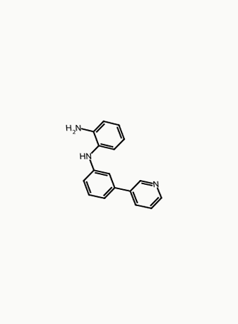 Nc1ccccc1Nc1cccc(-c2cccnc2)c1